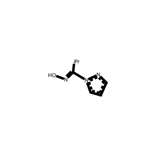 CC(C)C(=NO)n1cccn1